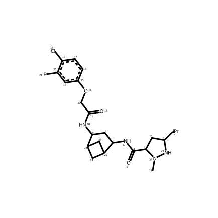 CC(C)C1CC(C(=O)NC2CC(NC(=O)COc3ccc(Cl)c(F)c3)C3CC2C3)N(C)N1